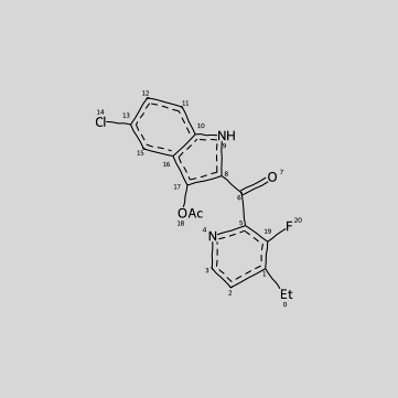 CCc1ccnc(C(=O)c2[nH]c3ccc(Cl)cc3c2OC(C)=O)c1F